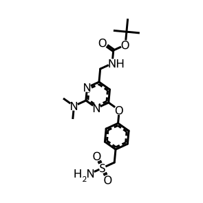 CN(C)c1nc(CNC(=O)OC(C)(C)C)cc(Oc2ccc(CS(N)(=O)=O)cc2)n1